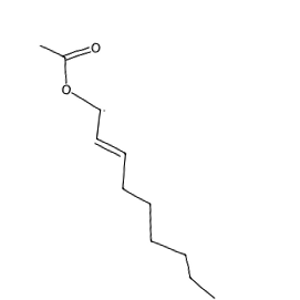 CCCCCCC=C[CH]OC(C)=O